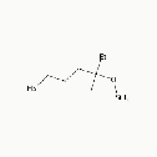 CCC(C)(CCCS)O[SiH3]